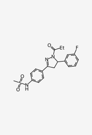 CCC(=O)N1N=C(c2ccc(NS(C)(=O)=O)cc2)CC1c1cccc(F)c1